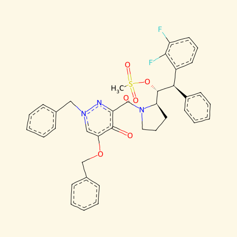 CS(=O)(=O)O[C@H]([C@H](c1ccccc1)c1cccc(F)c1F)[C@H]1CCCN1C(=O)c1nn(Cc2ccccc2)cc(OCc2ccccc2)c1=O